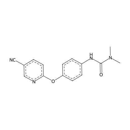 CN(C)C(=O)Nc1ccc(Oc2ccc(C#N)cn2)cc1